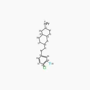 CCCC1CCC2CC(CCc3ccc(Cl)c(F)c3)CCC2C1